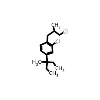 CCC(C)(CC)c1ccc(CC(C)CCl)c(Cl)c1